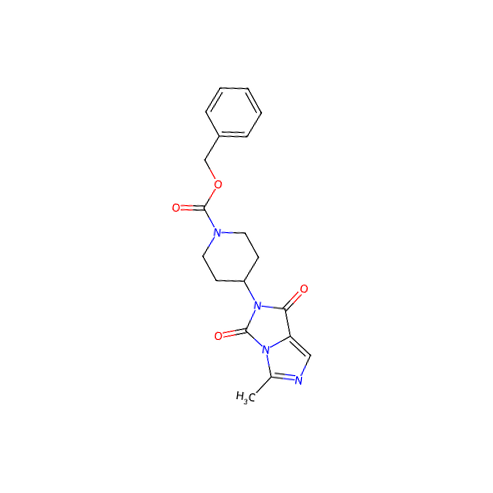 Cc1ncc2n1C(=O)N(C1CCN(C(=O)OCc3ccccc3)CC1)C2=O